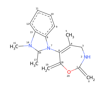 C=C1NCC(C)=C(N2c3ccccc3N(C)C2C)C(=C)O1